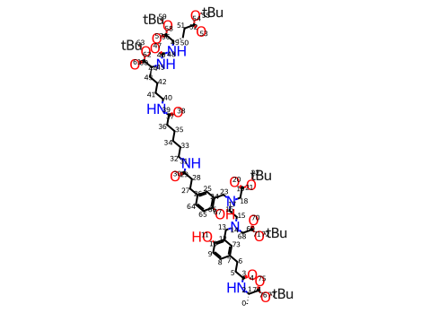 C[C@H](NC(=O)CCc1ccc(O)c(CN(CCN(CC(=O)OC(C)(C)C)Cc2cc(CCC(=O)NCCCCCC(=O)NCCCC[C@H](NC(=O)N[C@@H](CCC(=O)OC(C)(C)C)C(=O)OC(C)(C)C)C(=O)OC(C)(C)C)ccc2O)CC(=O)OC(C)(C)C)c1)C(=O)OC(C)(C)C